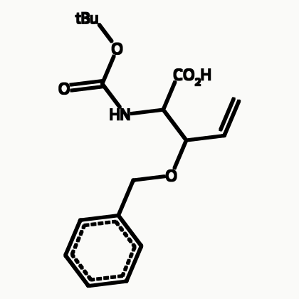 C=CC(OCc1ccccc1)C(NC(=O)OC(C)(C)C)C(=O)O